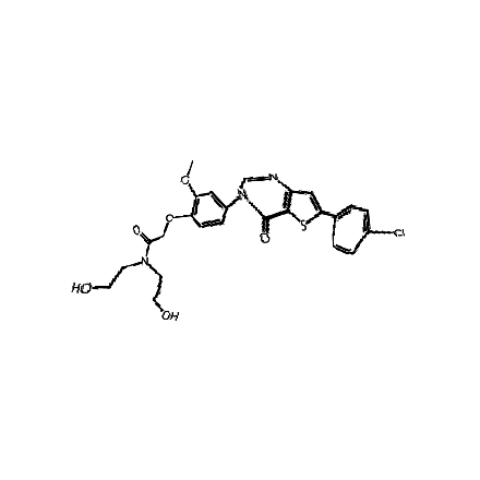 COc1cc(-n2cnc3cc(-c4ccc(Cl)cc4)sc3c2=O)ccc1OCC(=O)N(CCO)CCO